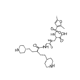 Cc1cc(S(=O)(=O)NC(CNC(=O)CNC(=O)C(CCC2CCNCC2)CCC2CCNCC2)C(=O)O)c(C)o1